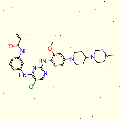 C=CC(=O)Nc1cccc(Nc2nc(Nc3ccc(N4CCC(N5CCN(C)CC5)CC4)cc3OC)ncc2Cl)c1